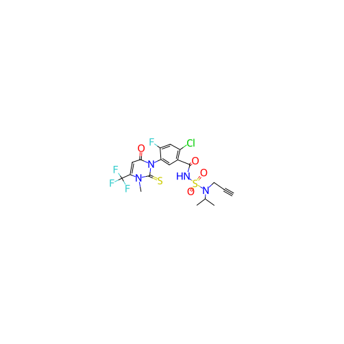 C#CCN(C(C)C)S(=O)(=O)NC(=O)c1cc(-n2c(=O)cc(C(F)(F)F)n(C)c2=S)c(F)cc1Cl